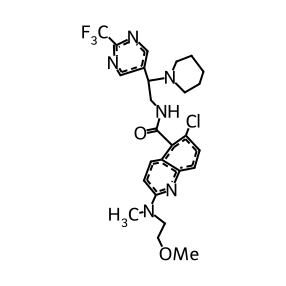 COCCN(C)c1ccc2c(C(=O)NCC(c3cnc(C(F)(F)F)nc3)N3CCCCC3)c(Cl)ccc2n1